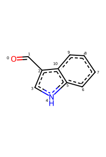 O=Cc1c[nH]c2cc[c]cc12